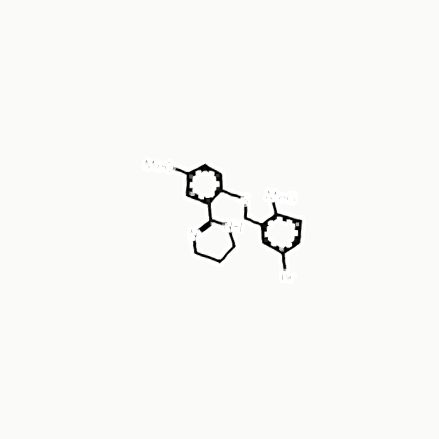 COc1ccc(SCc2cc(Br)ccc2OC)c(C2=NCCCN2)c1